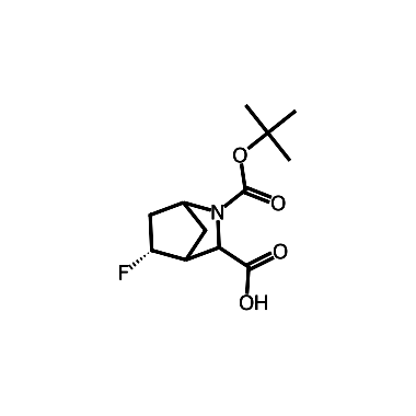 CC(C)(C)OC(=O)N1C2CC(C1C(=O)O)[C@H](F)C2